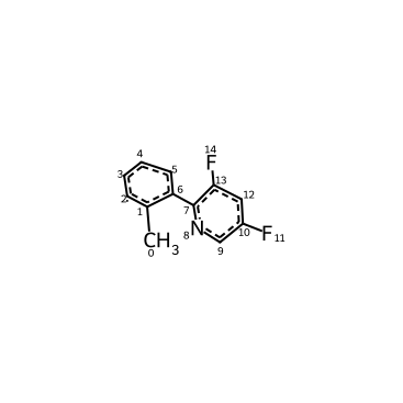 Cc1[c]cccc1-c1ncc(F)cc1F